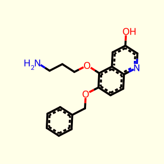 NCCCOc1c(OCc2ccccc2)ccc2ncc(O)cc12